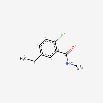 CCc1ccc(F)c(C(=O)NC)c1